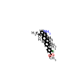 COC(=O)c1ccc(C2=CC[C@]3(C)[C@H]4CC[C@@H]5[C@H]6[C@H](C(C)C)CC[C@]6(N)CC[C@@]5(C)[C@]4(C)CC[C@H]3C2(C)C)cc1F